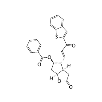 O=C1C[C@@H]2[C@@H](C=CC(=O)c3cc4ccccc4s3)[C@H](OC(=O)c3ccccc3)C[C@@H]2O1